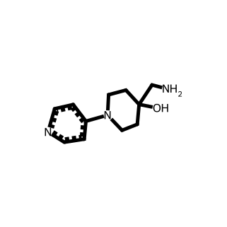 NCC1(O)CCN(c2ccncc2)CC1